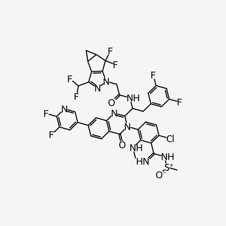 CNc1c(-n2c(C(Cc3cc(F)cc(F)c3)NC(=O)Cn3nc(C(F)F)c4c3C(F)(F)C3CC43)nc3cc(-c4cnc(F)c(F)c4)ccc3c2=O)ccc(Cl)c1C(=N)N[S+](C)[O-]